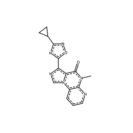 Cn1c(=O)c2c(-c3nc(C4CC4)no3)ncn2c2cccnc21